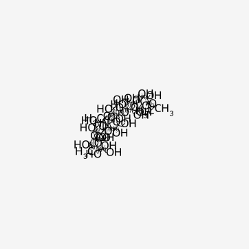 CC(=O)NC1[C@H](O[C@@H]2C(O)[C@@H](O[C@H]3C(CO)O[C@@H](O[C@@H]4C(CO)O[C@@H](OC(C)C)C(O)[C@H]4O)C(O)[C@H]3O)OC(CO)[C@@H]2O)OC(CO)[C@H](O)[C@@H]1O[C@@H]1OC(CO)[C@H](O)[C@H](O[C@]2(OC=O)C[C@@H](O)[C@@H](C)C([C@H](O)[C@H](O)CO)O2)C1O